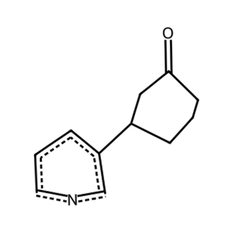 O=C1CCCC(c2cccnc2)C1